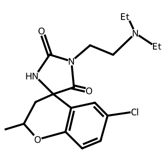 CCN(CC)CCN1C(=O)NC2(CC(C)Oc3ccc(Cl)cc32)C1=O